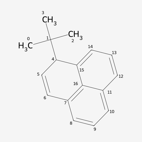 CC(C)(C)C1C=Cc2cccc3cccc1c23